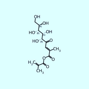 C=C(C)C(=O)OC(=O)C(C)=CC(=O)[C@H](O)[C@@H](O)[C@H](O)[C@H](O)CO